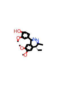 CC[C@H]1C(C)=NN=C(c2ccc(O)c(OC)c2)c2cc(OC)c(OC)cc21